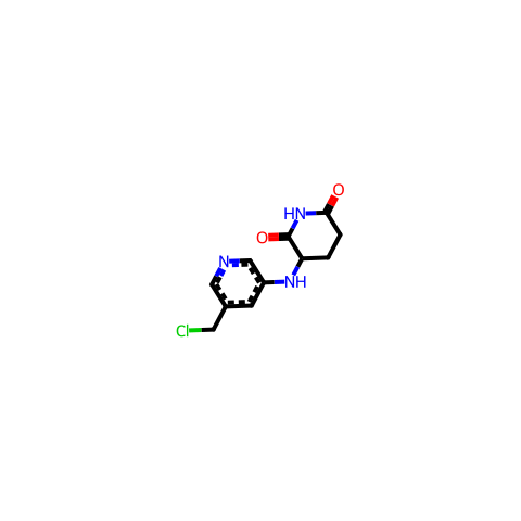 O=C1CCC(Nc2cncc(CCl)c2)C(=O)N1